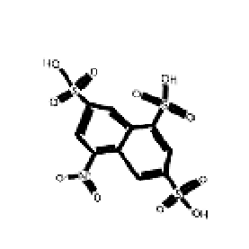 O=[N+]([O-])c1cc(S(=O)(=O)O)cc2c(S(=O)(=O)O)cc(S(=O)(=O)O)cc12